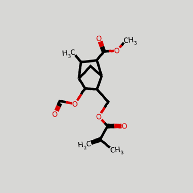 C=C(C)C(=O)OCC1C2CC(C(C)C2C(=O)OC)C1OC=O